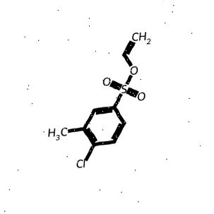 C=COS(=O)(=O)c1ccc(Cl)c(C)c1